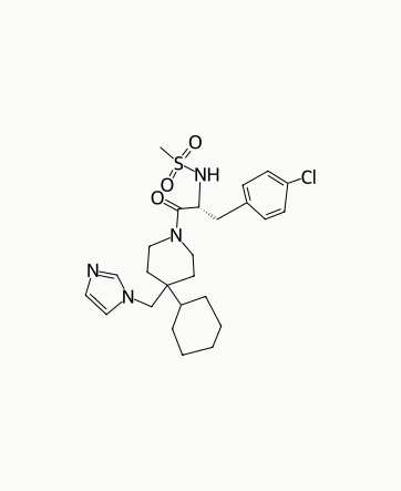 CS(=O)(=O)N[C@H](Cc1ccc(Cl)cc1)C(=O)N1CCC(Cn2ccnc2)(C2CCCCC2)CC1